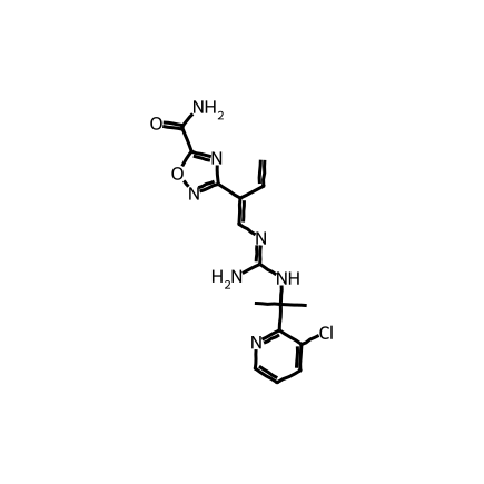 C=C/C(=C\N=C(/N)NC(C)(C)c1ncccc1Cl)c1noc(C(N)=O)n1